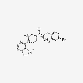 C[C@@H]1CCc2ncnc(N3CCN(C(=O)[C@H](N)Cc4ccc(Br)cc4)C[C@@H]3C)c21